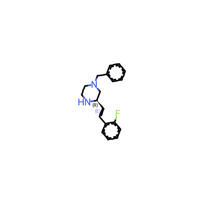 Fc1ccccc1/C=C/[C@@H]1CN(Cc2ccccc2)CCN1